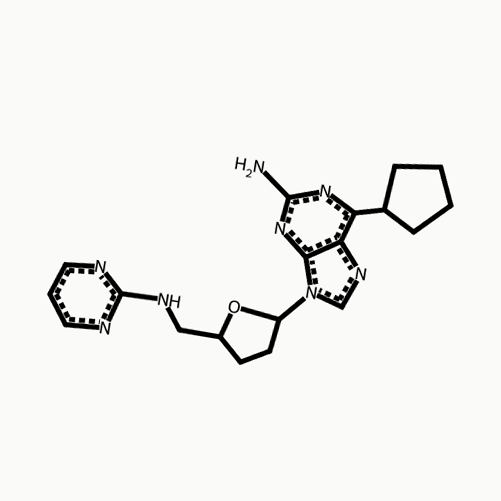 Nc1nc(C2CCCC2)c2ncn(C3CCC(CNc4ncccn4)O3)c2n1